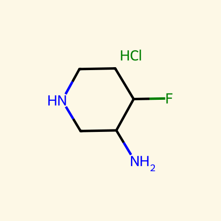 Cl.NC1CNCCC1F